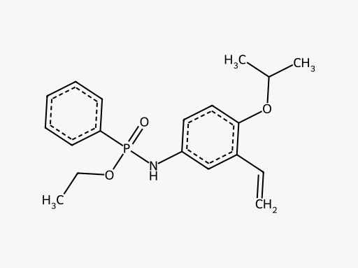 C=Cc1cc(NP(=O)(OCC)c2ccccc2)ccc1OC(C)C